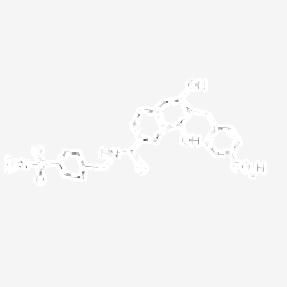 O=C(O)c1ccc(Cc2c(O)cc3ccc(C(=O)NCc4ccc(S(=O)(=O)N5CC5)cc4)cc3c2O)cc1